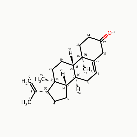 C=C(C)[C@H]1CC[C@H]2[C@@H]3CC=C4CC(=O)CC[C@]4(C)[C@H]3CC[C@]12C